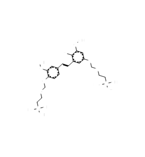 COc1cc(C=Cc2cc(OCOCC[Si](C)(C)C)cc(OC)c2Br)ccc1OCOCC[Si](C)(C)C